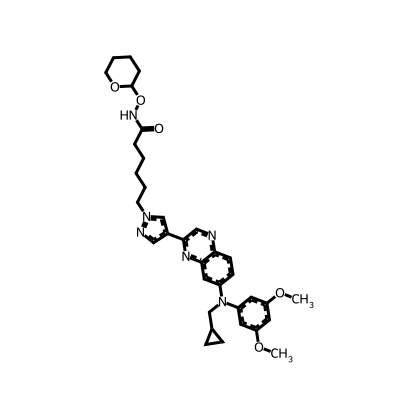 COc1cc(OC)cc(N(CC2CC2)c2ccc3ncc(-c4cnn(CCCCCC(=O)NOC5CCCCO5)c4)nc3c2)c1